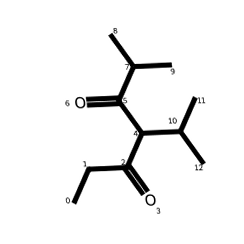 CCC(=O)C(C(=O)C(C)C)C(C)C